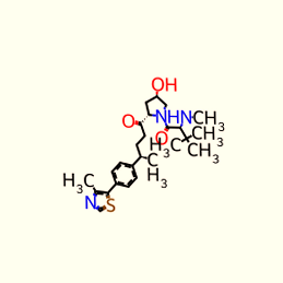 CN[C@H](C(=O)N1C[C@H](O)C[C@H]1C(=O)CC[C@@H](C)c1ccc(-c2scnc2C)cc1)C(C)(C)C